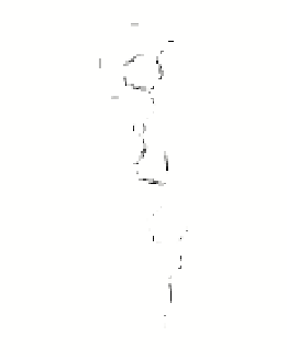 CCCCCC1CCC(c2ccc(OCc3cc(F)c(F)c(F)c3F)cc2)CC1